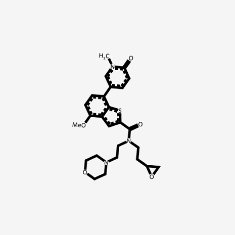 COc1ccc(-c2ccc(=O)n(C)c2)c2sc(C(=O)N(CCC3CO3)CCN3CCOCC3)cc12